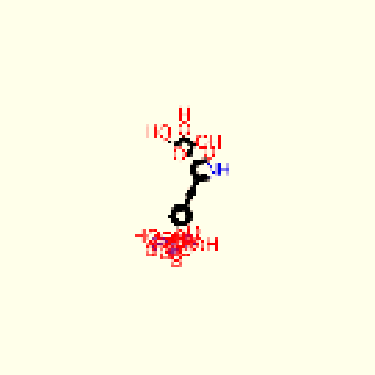 O=c1[nH]cc(C#Cc2cccc(OP(=O)(O)OP(=O)(O)OP(=O)(O)O)c2)cc1[C@@H]1O[C@H](CO)[C@@H](O)[C@H]1O